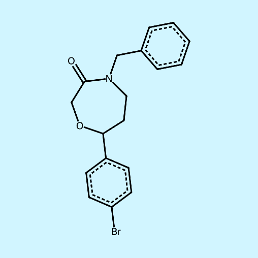 O=C1COC(c2ccc(Br)cc2)CCN1Cc1ccccc1